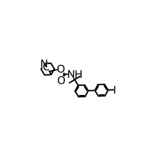 CC(C)(NC(=O)OC1CN2CCC1CC2)c1cccc(-c2ccc(I)cc2)c1